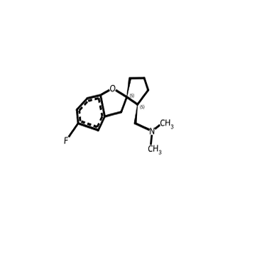 CN(C)C[C@@H]1CCC[C@]12Cc1cc(F)ccc1O2